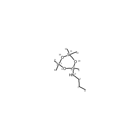 CCCN[Si]1(C)O[Si](C)(C)O[Si](C)(C)O1